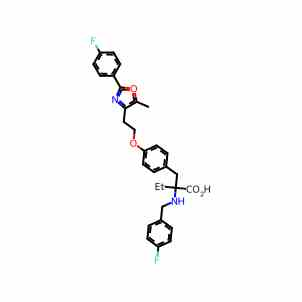 CCC(Cc1ccc(OCCc2nc(-c3ccc(F)cc3)oc2C)cc1)(NCc1ccc(F)cc1)C(=O)O